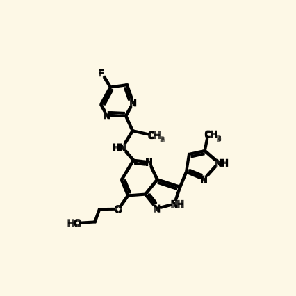 Cc1cc(-c2[nH]nc3c(OCCO)cc(NC(C)c4ncc(F)cn4)nc23)n[nH]1